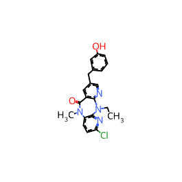 CCN1c2ncc(Cc3cccc(O)c3)cc2C(=O)N(C)c2ccc(Cl)nc21